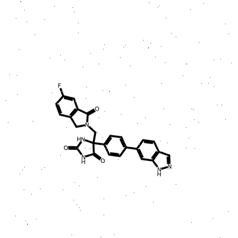 O=C1NC(=O)C(CN2Cc3ccc(F)cc3C2=O)(c2ccc(-c3ccc4cn[nH]c4c3)cc2)N1